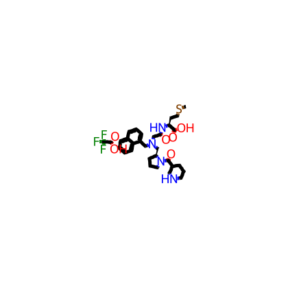 CSCC[C@H](NC(=O)CN(Cc1cccc2ccccc12)C[C@@H]1CCCN1C(=O)C1CCCNC1)C(=O)O.O=C(O)C(F)(F)F